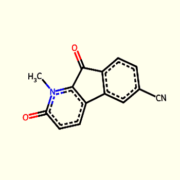 Cn1c2c(ccc1=O)-c1cc(C#N)ccc1C2=O